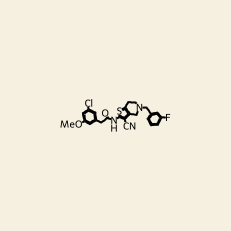 COc1cc(Cl)cc(CC(=O)Nc2sc3c(c2C#N)CN(Cc2cccc(F)c2)CC3)c1